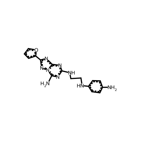 Nc1ccc(NCCNc2nc(N)n3nc(-c4ccco4)nc3n2)cc1